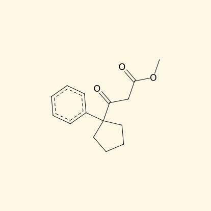 COC(=O)CC(=O)C1(c2ccccc2)CCCC1